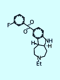 CCN1CC[C@@H]2Nc3ccc(S(=O)(=O)c4cccc(F)c4)cc3[C@H]2CC1